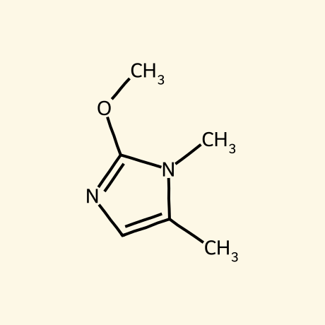 COc1ncc(C)n1C